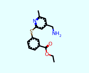 CCOC(=O)c1cccc(Sc2cc(CN)cc(C)n2)c1